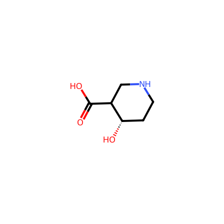 O=C(O)C1CNCC[C@@H]1O